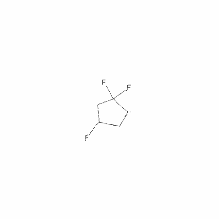 FC1C[CH]C(F)(F)C1